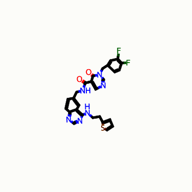 O=C(NCc1ccc2ncnc(NCCc3cccs3)c2c1)c1cncn(Cc2ccc(F)c(F)c2)c1=O